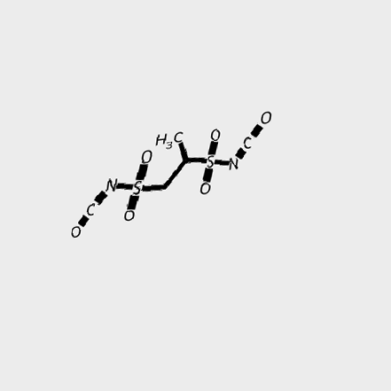 CC(CS(=O)(=O)N=C=O)S(=O)(=O)N=C=O